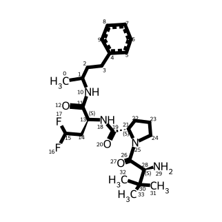 CC(CCc1ccccc1)NC(=O)[C@H](CC(F)F)NC(=O)[C@@H]1CCCN1C(=O)[C@@H](N)C(C)(C)C